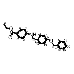 CCOC(=O)c1ccc(NCc2ccc(OCc3ccccc3)cc2)cc1